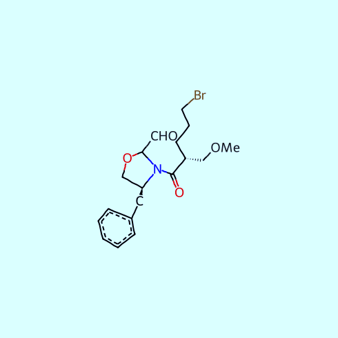 COC[C@@H](CCCBr)C(=O)N1C(C=O)OC[C@@H]1Cc1ccccc1